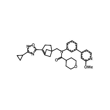 COc1cc(-c2cccc(N(CC34CCC(c5nc(C6CC6)no5)=C(C3)C4)C(=O)C3CCOCC3)c2)ccn1